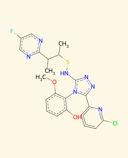 COc1cccc(O)c1-n1c(NSC(C)C(C)c2ncc(F)cn2)nnc1C1=C=C=CC(Cl)=N1